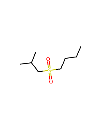 CCCCS(=O)(=O)CC(C)C